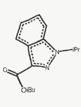 CC(C)COC(=O)c1nn(C(C)C)c2ccccc12